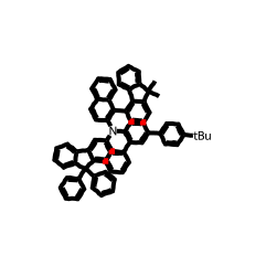 CC(C)(C)c1ccc(-c2ccc(N(c3ccc4c(c3)-c3ccccc3C4(c3ccccc3)c3ccccc3)c3ccc4ccccc4c3-c3cccc4c3-c3ccccc3C4(C)C)c(-c3ccccc3)c2)cc1